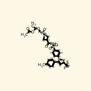 CC(=O)OC(C)O/N=[N+](\[O-])N1CC(C(=O)NS(=O)(=O)c2ccc(-n3nc(C(F)(F)F)cc3-c3ccc(C)cc3)cc2)C1